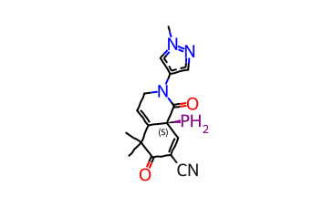 Cn1cc(N2CC=C3C(C)(C)C(=O)C(C#N)=C[C@@]3(P)C2=O)cn1